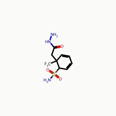 NNC(=O)CC1(C(F)(F)F)C=CC=CC1S(N)(=O)=O